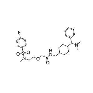 CN(C)C(c1ccccc1)C1CCC(CNC(=O)COCCN(C)S(=O)(=O)c2ccc(F)cc2)CC1